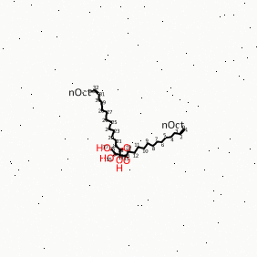 CCCCCCCC/C=C\CCCCCCCCCCCC(=O)C(O)(C(=O)CCCCCCCCCCC/C=C\CCCCCCCC)C(O)CO